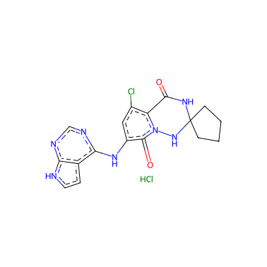 Cl.O=C1NC2(CCCC2)Nn2c1c(Cl)cc(Nc1ncnc3[nH]ccc13)c2=O